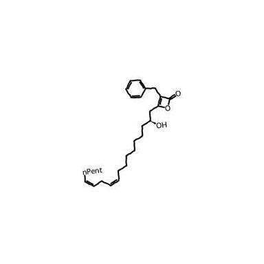 CCCCC/C=C\C/C=C\CCCCCCC[C@H](O)CC1=C(Cc2ccccc2)C(=O)O1